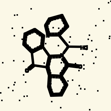 CC(c1ccccn1)n1c2c(c3ccccc3c1=O)C(=O)c1ccccc1-2.Cl